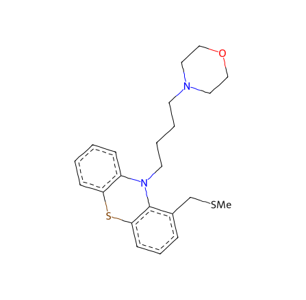 CSCc1cccc2c1N(CCCCN1CCOCC1)c1ccccc1S2